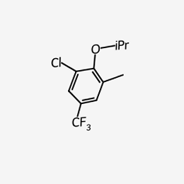 Cc1cc(C(F)(F)F)cc(Cl)c1OC(C)C